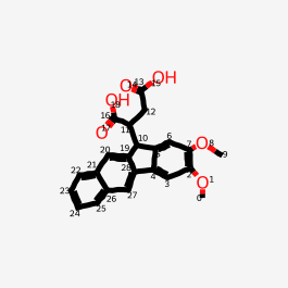 COc1cc2c(cc1OC)C(C(CC(=O)O)C(=O)O)c1cc3ccccc3cc1-2